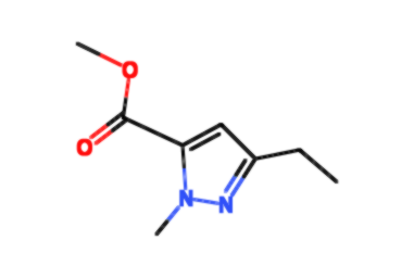 CCc1cc(C(=O)OC)n(C)n1